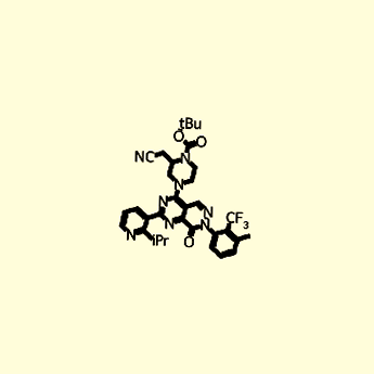 Cc1cccc(-n2ncc3c(N4CCN(C(=O)OC(C)(C)C)C(CC#N)C4)nc(-c4cccnc4C(C)C)nc3c2=O)c1C(F)(F)F